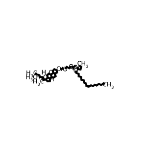 CCCCCCCC/C=C\CCCCCCCCOCC(CN1CCCC1C)OCCOCCO[C@H]1CC[C@@]2(C)C(=CC[C@H]3C4CCC([C@H](C)CCCC(C)C)[C@@]4(C)CCC32)C1